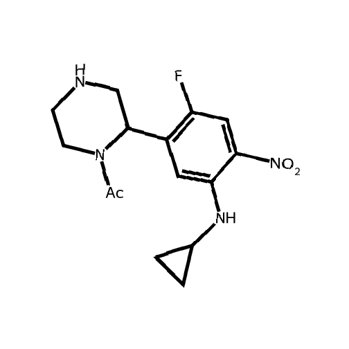 CC(=O)N1CCNCC1c1cc(NC2CC2)c([N+](=O)[O-])cc1F